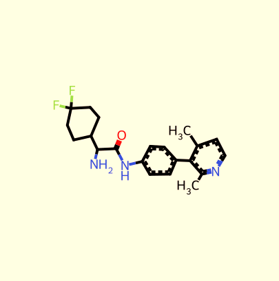 Cc1ccnc(C)c1-c1ccc(NC(=O)C(N)C2CCC(F)(F)CC2)cc1